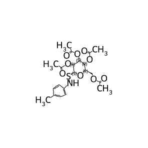 CC(=O)OC[C@H]1O[C@@H](SNc2ccc(C)cc2)[C@H](OC(C)=O)[C@@H](OC(C)=O)[C@@H]1OC(C)=O